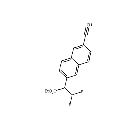 C#Cc1ccc2cc(C(C(=O)OCC)C(F)F)ccc2c1